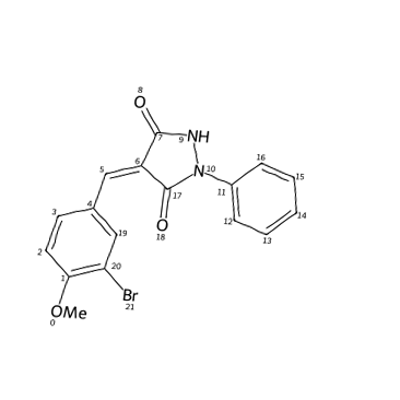 COc1ccc(C=C2C(=O)NN(c3ccccc3)C2=O)cc1Br